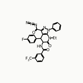 CCN1C(=O)C(NC(=O)c2cccc(C(F)(F)F)c2)C(c2ccc(F)cc2)c2c(C(=O)N=[N+]=[N-])nn(-c3ccccc3)c21